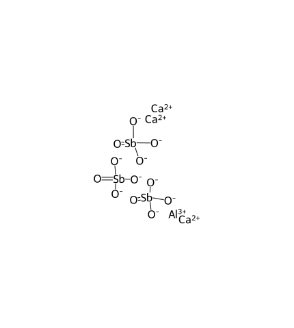 [Al+3].[Ca+2].[Ca+2].[Ca+2].[O]=[Sb]([O-])([O-])[O-].[O]=[Sb]([O-])([O-])[O-].[O]=[Sb]([O-])([O-])[O-]